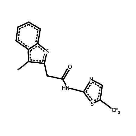 Cc1c(CC(=O)Nc2ncc(C(F)(F)F)s2)sc2ccccc12